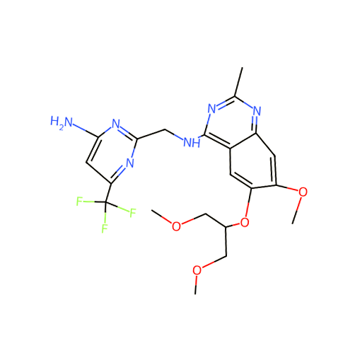 COCC(COC)Oc1cc2c(NCc3nc(N)cc(C(F)(F)F)n3)nc(C)nc2cc1OC